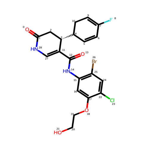 O=C1C[C@H](C2C=CC(F)=CC2)C(C(=O)Nc2cc(OCCO)c(Cl)cc2Br)=CN1